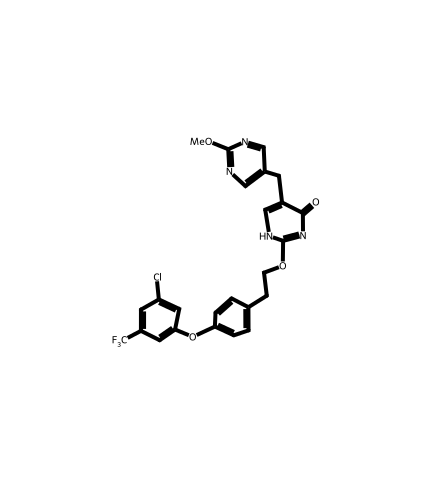 COc1ncc(Cc2c[nH]c(OCCc3ccc(Oc4cc(Cl)cc(C(F)(F)F)c4)cc3)nc2=O)cn1